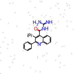 CC(C)c1c(-c2ccccc2)nc2ccccc2c1C(=O)NC(=N)N